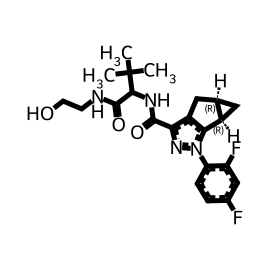 CC(C)(C)C(NC(=O)c1nn(-c2ccc(F)cc2F)c2c1C[C@H]1C[C@@H]21)C(=O)NCCO